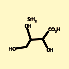 O=C(O)C(O)C(O)CO.[SrH2]